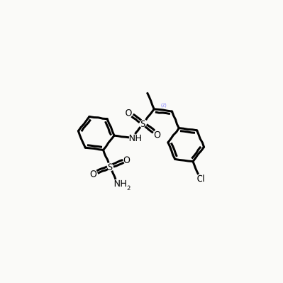 C/C(=C/c1ccc(Cl)cc1)S(=O)(=O)Nc1ccccc1S(N)(=O)=O